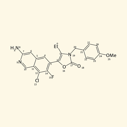 CCc1c(-c2cc3cc(N)ncc3c(Cl)c2F)oc(=O)n1Cc1ccc(OC)cc1